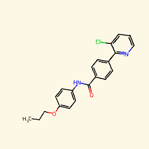 CCCOc1ccc(NC(=O)c2ccc(-c3ncccc3Cl)cc2)cc1